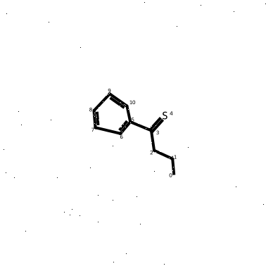 C[CH]CC(=S)c1ccccc1